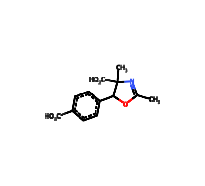 CC1=NC(C)(C(=O)O)C(c2ccc(C(=O)O)cc2)O1